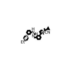 CCN1CCN(c2cccc(Nc3ncc4cccc(-c5ccn(C(C)(C#N)C6CC6)n5)c4n3)c2)CC1